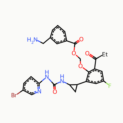 CCC(=O)c1cc(F)cc(C2CC2NC(=O)Nc2ccc(Br)cn2)c1OCOC(=O)c1cccc(CN)c1